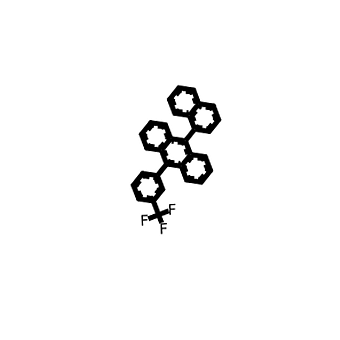 FC(F)(F)c1cccc(-c2c3ccccc3c(-c3cccc4ccccc34)c3ccccc23)c1